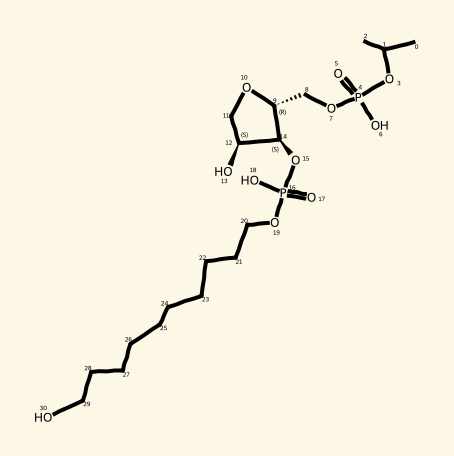 CC(C)OP(=O)(O)OC[C@H]1OC[C@H](O)[C@@H]1OP(=O)(O)OCCCCCCCCCCO